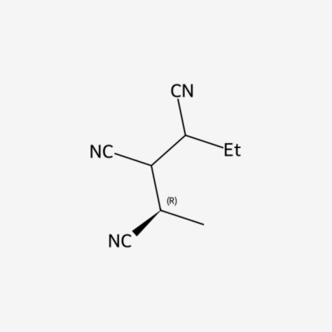 CCC(C#N)C(C#N)[C@@H](C)C#N